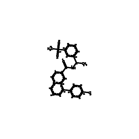 CC(NC(=O)c1ccc2cncc(-c3ccc(Cl)cc3)c2c1)c1cccc(S(C)(=O)=O)c1